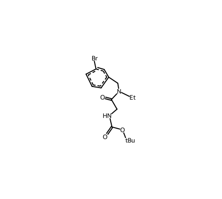 CCN(Cc1cccc(Br)c1)C(=O)CNC(=O)OC(C)(C)C